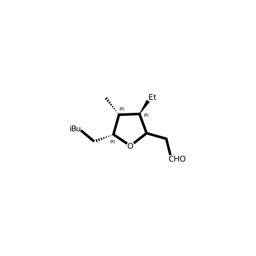 CCC(C)C[C@H]1OC(CC=O)[C@H](CC)[C@H]1C